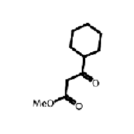 COC(=O)CC(=O)C1CCCCC1